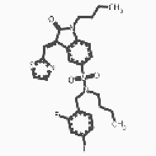 CCCCN1C(=O)/C(=C/c2nccs2)c2cc(S(=O)(=O)N(CCCC)Cc3ccc(F)cc3F)ccc21